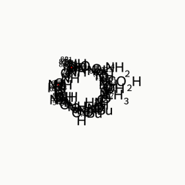 CC[C@H](C)[C@@H]1NC(=O)CNC(=O)[C@H](CCCCN)NC(=O)[C@H](CCC(=O)O)NC(=O)[C@H]([C@@H](C)O)NC(=O)CNC(=O)[C@H]([C@@H](C)CC)NC(=O)[C@H]([C@@H](C)CC)NC(=O)CNCC(=O)[C@H](Cc2cnc[nH]2)NC(=O)[C@H](Cc2cnc[nH]2)NC(=O)CNC(=O)[C@H](Cc2c[nH]c3ccccc23)NC1=O